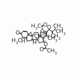 C=C(C(=O)[C@H](OC(C)=O)[C@@H](C)[C@H]1[C@@H](OC(C)=O)C[C@@]2(C)[C@@H]3CC[C@H]4[C@H](C)C(=O)C=C[C@@]45C[C@@]35CC[C@]12C)C(C)C